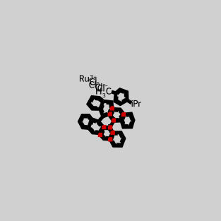 Cc1ccc(C(C)C)cc1.[Cl-].[Cl-].[Cl-].[Cl][Ru+3].c1ccc(P(c2ccccc2)c2ccc3ccccc3c2-c2c(P(c3ccccc3)c3ccccc3)ccc3ccccc23)cc1